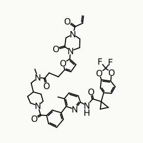 C=CC(=O)N1CCN(c2ccc(CCC(=O)N(C)CC3CCN(C(=O)c4cccc(-c5nc(NC(=O)C6(c7ccc8c(c7)OC(F)(F)O8)CC6)ccc5C)c4)CC3)o2)C(=O)C1